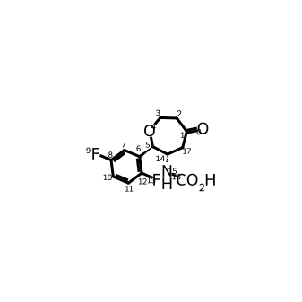 O=C1CCO[C@H](c2cc(F)ccc2F)[C@@H](NC(=O)O)C1